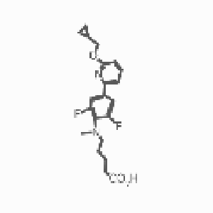 CN(CCCCC(=O)O)c1c(F)cc(-c2cccc(OCC3CC3)n2)cc1F